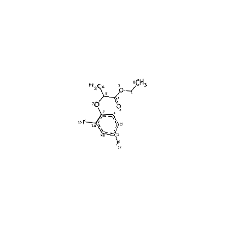 CCOC(=O)C(C)Oc1ccc(F)cc1F